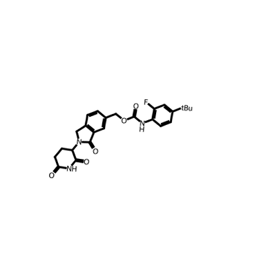 CC(C)(C)c1ccc(NC(=O)OCc2ccc3c(c2)C(=O)N(C2CCC(=O)NC2=O)C3)c(F)c1